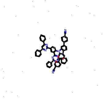 N#Cc1ccc(-c2ccc3c4ccc(-c5ccc(C#N)cc5)cc4n(-c4ccc(-c5nc(-c6ccccc6)cc(-c6ccccc6)n5)cc4-c4nc(-c5ccccc5)nc(-c5ccccc5)n4)c3c2)cc1